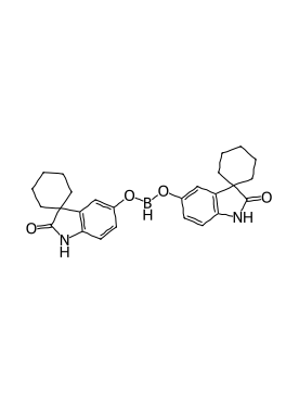 O=C1Nc2ccc(OBOc3ccc4c(c3)C3(CCCCC3)C(=O)N4)cc2C12CCCCC2